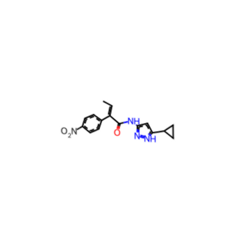 C/C=C(/C(=O)Nc1cc(C2CC2)[nH]n1)c1ccc([N+](=O)[O-])cc1